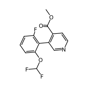 COC(=O)c1ccncc1-c1c(F)cccc1OC(F)F